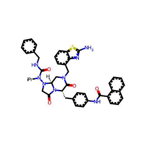 CC(C)N(C(=O)NCc1ccccc1)N1CC(=O)N2[C@@H](Cc3ccc(NC(=O)c4cccc5ccccc45)cc3)C(=O)N(Cc3cccc4sc(N)nc34)C[C@@H]21